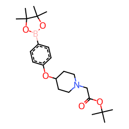 CC(C)(C)OC(=O)CN1CCC(Oc2ccc(B3OC(C)(C)C(C)(C)O3)cc2)CC1